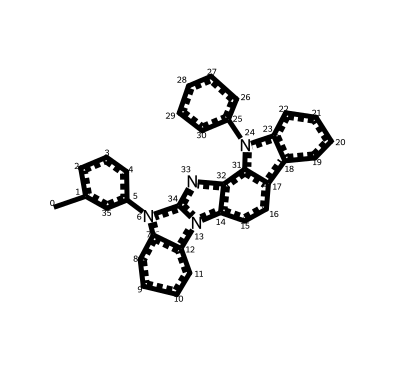 Cc1cccc(-n2c3ccccc3n3c4ccc5c6ccccc6n(-c6ccccc6)c5c4nc23)c1